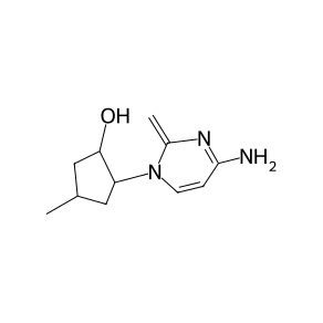 C=C1N=C(N)C=CN1C1CC(C)CC1O